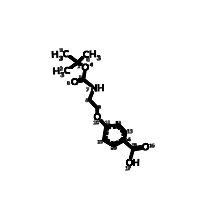 CC(C)(C)OC(=O)NCCOc1ccc(C(=O)O)cc1